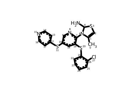 CC1=CSC(N)N1c1ncc(Sc2ccncc2)cc1Sc1ccccc1Cl